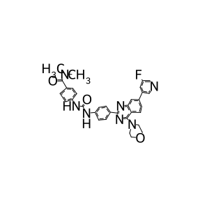 CN(C)C(=O)c1ccc(NC(=O)Nc2ccc(-c3nc(N4CCOCC4)c4ccc(-c5cncc(F)c5)cc4n3)cc2)cc1